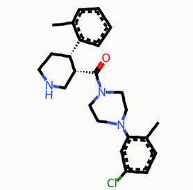 Cc1ccccc1[C@H]1CCNC[C@H]1C(=O)N1CCN(c2cc(Cl)ccc2C)CC1